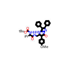 COc1ccc(-c2c(CNC(=O)C(NC(=O)OC(C)(C)C)C(C)C)[nH]c3c(-c4ccccc4)c(-c4ccccc4)nn3c2=O)cc1